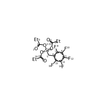 CCC(=O)O[Si](Cc1c(F)c(F)c(F)c(F)c1F)(OC(=O)CC)OC(=O)CC